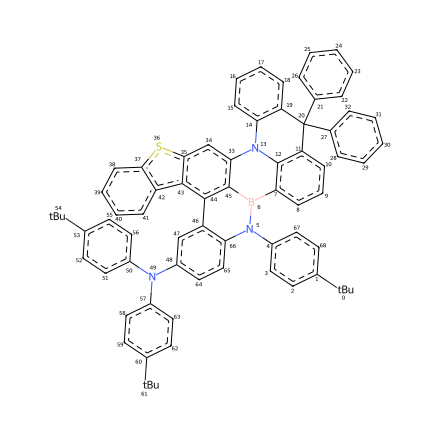 CC(C)(C)c1ccc(N2B3c4cccc5c4N(c4ccccc4C5(c4ccccc4)c4ccccc4)c4cc5sc6ccccc6c5c(c43)-c3cc(N(c4ccc(C(C)(C)C)cc4)c4ccc(C(C)(C)C)cc4)ccc32)cc1